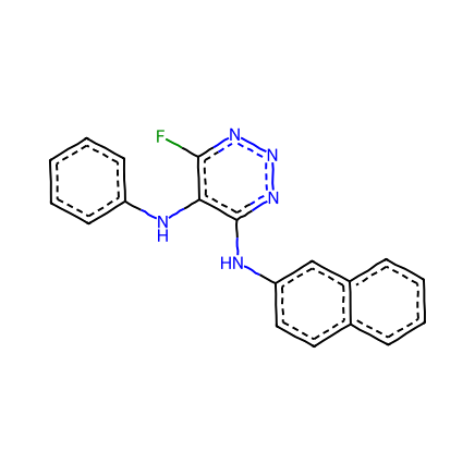 Fc1nnnc(Nc2ccc3ccccc3c2)c1Nc1ccccc1